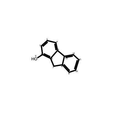 Oc1cccc2c1Cc1ccccc1-2